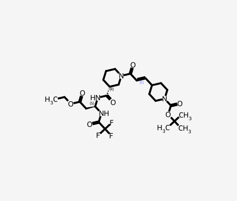 CCOC(=O)C[C@@H](NC(=O)[C@@H]1CCCN(C(=O)/C=C/C2CCN(C(=O)OC(C)(C)C)CC2)C1)NC(=O)C(F)(F)F